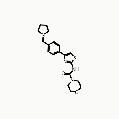 O=C(Nc1nc(-c2ccc(CN3CCCC3)cc2)cs1)N1CCOCC1